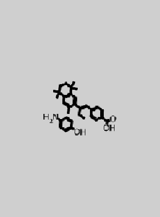 CC/C(=C\c1ccc(C(=O)O)cc1)c1cc2c(cc1C)C(C)(C)CCC2(C)C.Nc1ccc(O)cc1